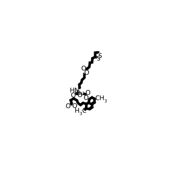 CCC(C)C(=O)OC1CC(C)C=C2C=CC(C)C(CCC3CC(OC(=O)NCCCCCCOC(=O)CCCCC4CCSS4)CC(=O)O3)C21